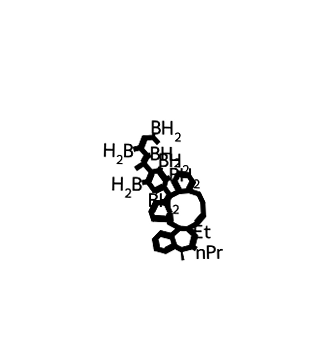 BC(=C/[C@@H](B)C)/C(B)=C(\C)c1c(B)c(B)c(/C2=c3\cccc\c3=C/C3c4ccccc4[C@H](C)C(CCC)=C[C@]3(CC)/C=C\CCc3ccccc32)c(B)c1B